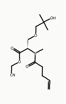 C=CCCC(=O)N(C)[C@@H](COCC(C)(C)O)C(=O)OCC#N